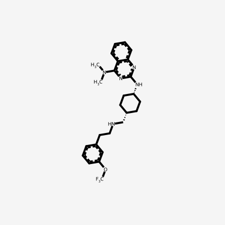 CN(C)c1nc(N[C@H]2CC[C@@H](CNCCc3cccc(OC(F)(F)F)c3)CC2)nc2ccccc12